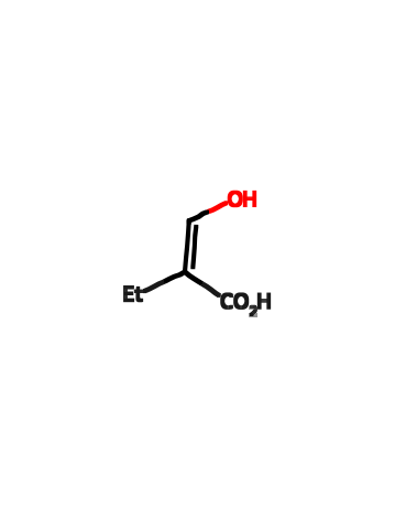 CCC(=CO)C(=O)O